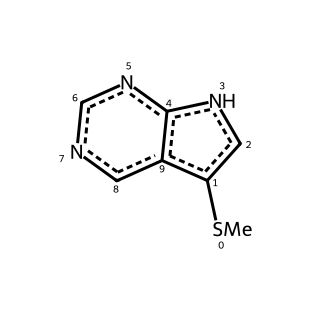 CSc1c[nH]c2ncncc12